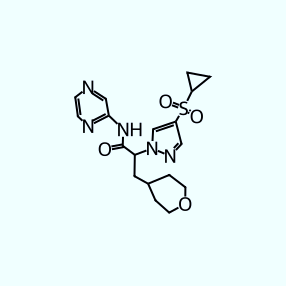 O=C(Nc1cnccn1)C(CC1CCOCC1)n1cc(S(=O)(=O)C2CC2)cn1